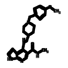 CNC(=O)c1cnc2[nH]ccc2c1NCC1CCN(Cc2ccc(OC)cc2)CC1